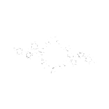 CC(C)C[C@H]1C(=O)O[C@H](Cc2ccc(Cn3ncnc3-c3ccc(Cl)cc3)cc2)C(=O)N(C)[C@@H](CC(C)C)C(=O)O[C@H](C)C(=O)N(C)[C@@H](CC(C)C)C(=O)O[C@H](Cc2ccc(Cn3ncnc3-c3ccc(Cl)cc3)cc2)C(=O)N(C)[C@@H](CC(C)C)C(=O)O[C@H](C)C(=O)N1C